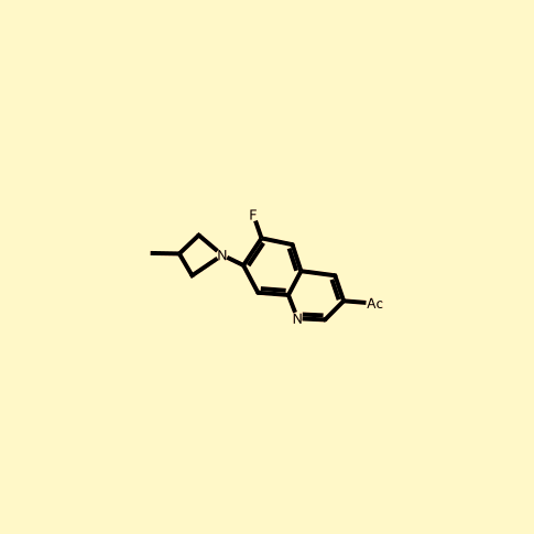 CC(=O)c1cnc2cc(N3CC(C)C3)c(F)cc2c1